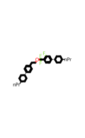 CCC[C@H]1CC[C@H](c2ccc(CCOC(F)(F)c3ccc([C@H]4CC[C@H](CCC)CC4)cc3F)cc2)CC1